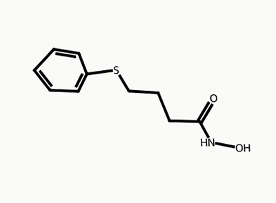 O=C(CCCSc1ccccc1)NO